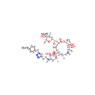 CC[C@H]1OC(=O)[C@H](C)[C@@H](OC[C@H]2C[C@@](C)(OC)[C@@H](O)[C@H](C)O2)[C@H](C)[C@@H](O[C@@H]2O[C@H](C)C[C@H](N(C)CCc3cn(Cc4ccc(SC)cc4)nn3)[C@H]2O)[C@](C)(O)C[C@@H](C)CN(C)[C@H](C)[C@@H](O)[C@]1(C)O